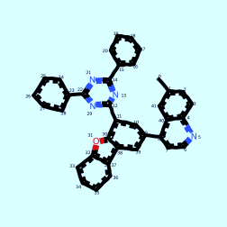 Cc1ccc2nccc(-c3cc(-c4nc(-c5ccccc5)nc(-c5ccccc5)n4)c4oc5ccccc5c4c3)c2c1